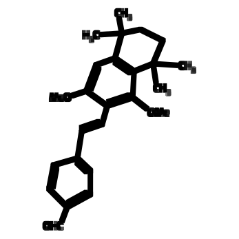 COc1cc2c(c(OC)c1C=Cc1ccc(C=O)cc1)C(C)(C)CCC2(C)C